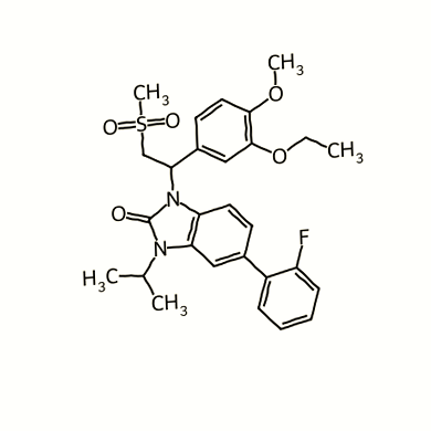 CCOc1cc(C(CS(C)(=O)=O)n2c(=O)n(C(C)C)c3cc(-c4ccccc4F)ccc32)ccc1OC